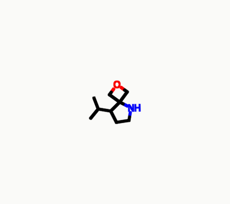 CC(C)C1CCNC12COC2